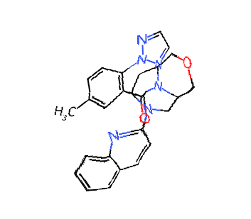 Cc1ccc(-n2nccn2)c(C(=O)N2C3CCN(c4ccc5ccccc5n4)CC2COC3)c1